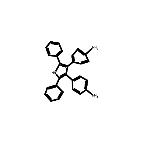 Nc1ccc(-c2c(-c3ccccc3)[nH]c(-c3ccccc3)c2-c2ccc(N)cc2)cc1